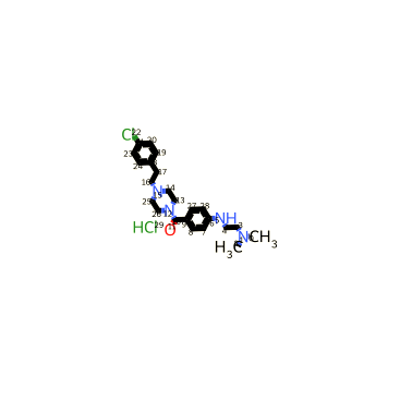 CN(C)CCNc1ccc(C(=O)N2CCN(CCc3ccc(Cl)cc3)CC2)cc1.Cl